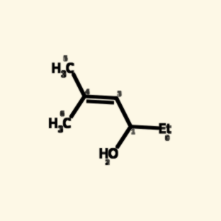 CCC(O)C=C(C)C